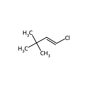 CC(C)(C)C=CCl